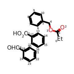 CCC(=O)OCc1ccccc1.O=C(O)c1ccccc1.O=Cc1ccccc1